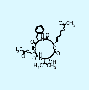 CC(=O)SCC/C=C/[C@@H]1CC(=O)N[C@H](Cc2ccccc2)C(=O)N[C@H](CSC(C)=O)C(=O)N[C@H](C(C)C)[C@@H](O)CC(=O)O1